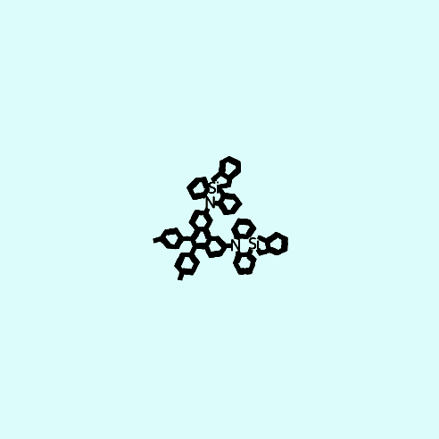 Cc1ccc(-c2c(-c3ccc(C)cc3)c3ccc(N4c5ccccc5[Si]5(Cc6ccccc6C5)c5ccccc54)cc3c3cc(N4c5ccccc5[Si]5(Cc6ccccc6C5)c5ccccc54)ccc23)cc1